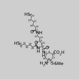 CSSC1CC(C(=O)O)CC(NC(=O)[C@H](CCCCNC(=O)CCCCCS)NC(=O)CCCCCS)CC1N